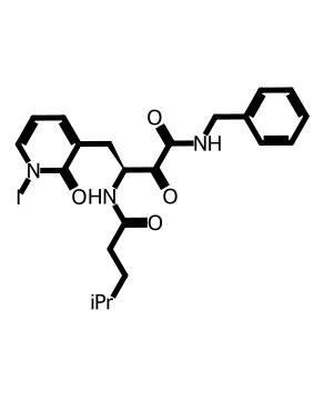 CC(C)CCC(=O)N[C@@H](Cc1cccn(I)c1=O)C(=O)C(=O)NCc1ccccc1